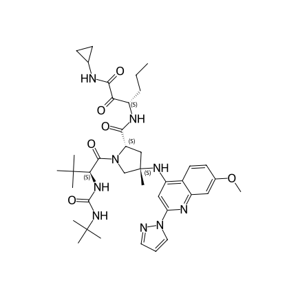 CCC[C@H](NC(=O)[C@@H]1C[C@](C)(Nc2cc(-n3cccn3)nc3cc(OC)ccc23)CN1C(=O)[C@@H](NC(=O)NC(C)(C)C)C(C)(C)C)C(=O)C(=O)NC1CC1